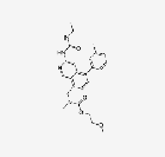 CCNC(=O)Nc1cc2c(-c3ccnc(C)c3)ccc(CN(C)C(=O)OCCOC)c2cn1